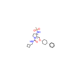 CS(=O)(=O)N[C@@H]1CCN(C(=O)NCC2CCC2)[C@@H]1CO[C@H]1CC[C@@H](c2ccccc2)CC1